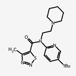 Cc1nnsc1C(=O)N(CCN1CCCCC1)c1ccc(C(C)(C)C)cn1